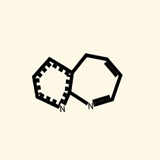 C1=CCc2cccnc2N=C1